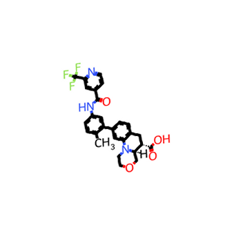 Cc1ccc(NC(=O)c2ccnc(C(F)(F)F)c2)cc1-c1ccc2c(c1)N1CCOC[C@@H]1[C@@H](C(=O)O)C2